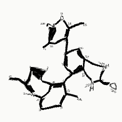 Cc1ccc2c(-c3cc(-c4c(C)noc4C)cc4[nH]c(=O)[nH]c34)c(C)ccc2n1